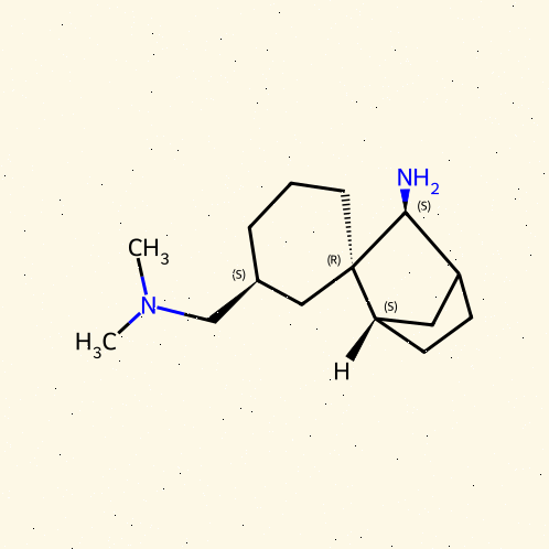 CN(C)C[C@H]1CCC[C@@]2(C1)[C@H]1CCC(C1)[C@@H]2N